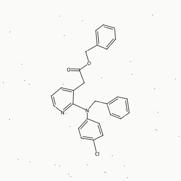 O=C(Cc1cccnc1N(Cc1ccccc1)c1ccc(Cl)cc1)OCc1ccccc1